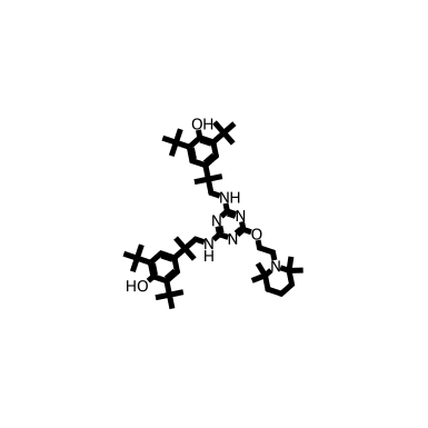 CC(C)(C)c1cc(C(C)(C)CNc2nc(NCC(C)(C)c3cc(C(C)(C)C)c(O)c(C(C)(C)C)c3)nc(OCCN3C(C)(C)CCCC3(C)C)n2)cc(C(C)(C)C)c1O